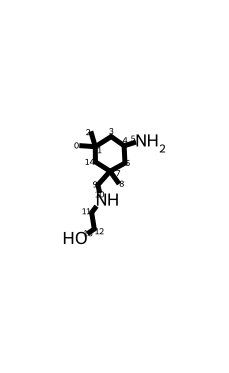 CC1(C)CC(N)CC(C)(CNCCO)C1